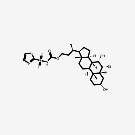 CC[C@H]1[C@@H](O)[C@@H]2[C@H](CC[C@]3(C)[C@@H]([C@H](C)CCOC(=O)NS(=O)(=O)c4nccs4)CC[C@@H]23)[C@@]2(C)CC[C@@H](O)C[C@@H]12